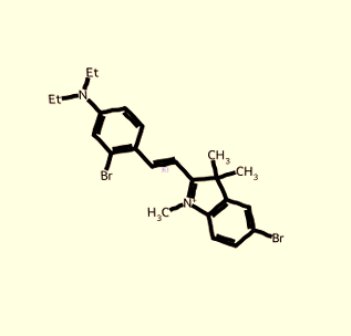 CCN(CC)c1ccc(/C=C/C2=[N+](C)c3ccc(Br)cc3C2(C)C)c(Br)c1